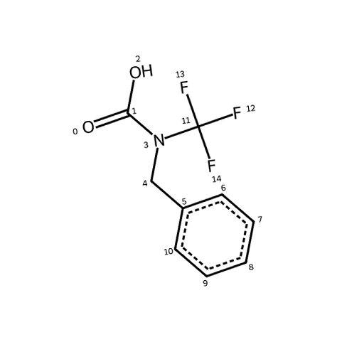 O=C(O)N(Cc1ccccc1)C(F)(F)F